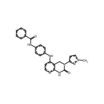 Cn1ccc(N2Cc3c(Nc4ccc(NC(=O)c5ccccc5)cc4)ccnc3NC2=O)n1